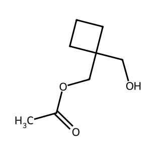 CC(=O)OCC1(CO)CCC1